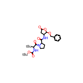 CC(C)(C)OC(=O)NC(C(=O)N1CCCC1C(=O)NC1CC(=O)OC1OCc1ccccc1)C(C)(C)C